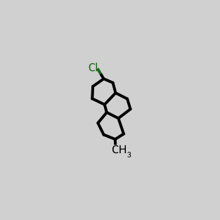 CC1CCC2C(CCC3CC(Cl)CCC32)C1